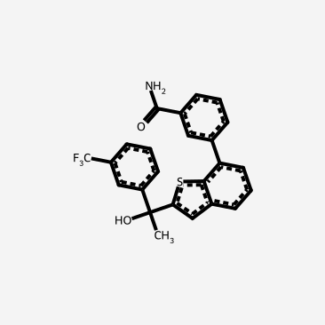 CC(O)(c1cccc(C(F)(F)F)c1)c1cc2cccc(-c3cccc(C(N)=O)c3)c2s1